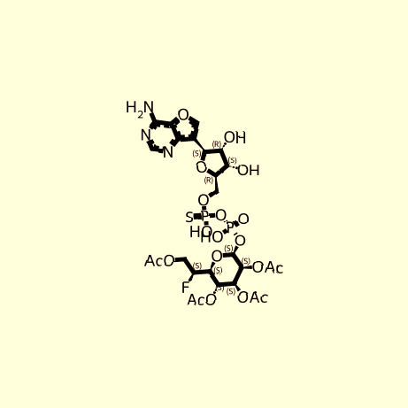 CC(=O)OC[C@H](F)[C@H]1O[C@@H](OP(=O)(O)OP(O)(=S)OC[C@H]2O[C@@H](c3coc4c(N)ncnc34)[C@H](O)[C@@H]2O)[C@@H](OC(C)=O)[C@@H](OC(C)=O)[C@@H]1OC(C)=O